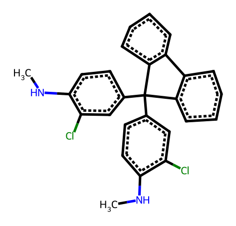 CNc1ccc(C2(c3ccc(NC)c(Cl)c3)c3ccccc3-c3ccccc32)cc1Cl